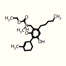 CCCCCc1cc(O)c(C2C=C(C)CCC2)c(O)c1CN(C)C(=O)OCC